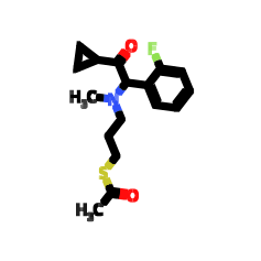 CC(=O)SCCCN(C)C(C(=O)C1CC1)c1ccccc1F